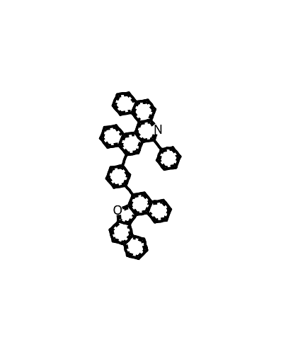 c1ccc(-c2nc3ccc4ccccc4c3c3c2cc(-c2cccc(-c4cc5ccccc5c5c4oc4ccc6ccccc6c45)c2)c2ccccc23)cc1